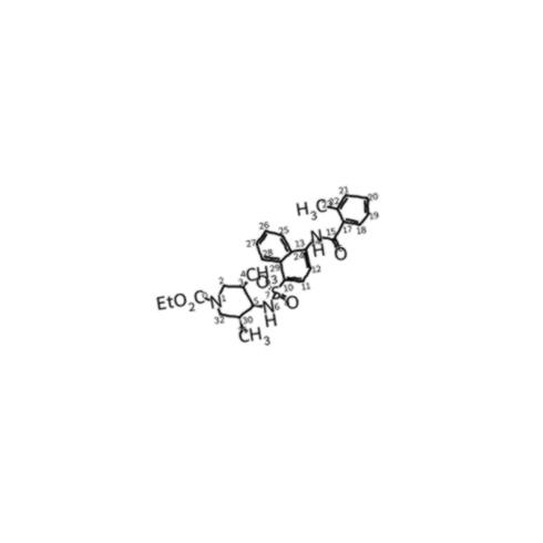 CCOC(=O)N1C[C@@H](C)[C@@H](NS(=O)(=O)c2ccc(NC(=O)c3ccccc3C)c3ccccc23)[C@@H](C)C1